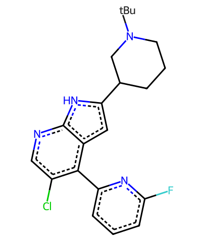 CC(C)(C)N1CCCC(c2cc3c(-c4cccc(F)n4)c(Cl)cnc3[nH]2)C1